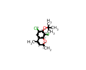 C=C1C=C(C)c2cc(Cl)c(OC(C)(C)C)c(F)c2O1